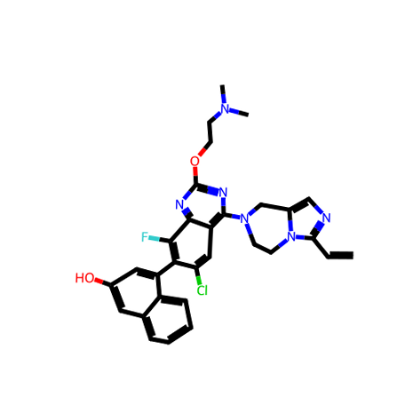 C=Cc1ncc2n1CCN(c1nc(OCCN(C)C)nc3c(F)c(-c4cc(O)cc5ccccc45)c(Cl)cc13)C2